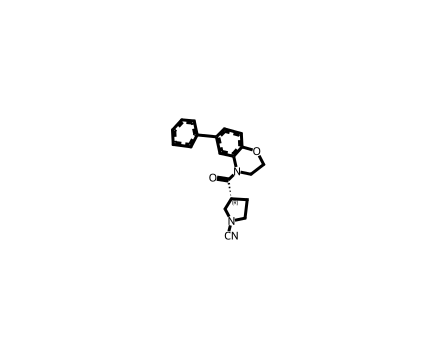 N#CN1CC[C@@H](C(=O)N2CCOc3ccc(-c4ccccc4)cc32)C1